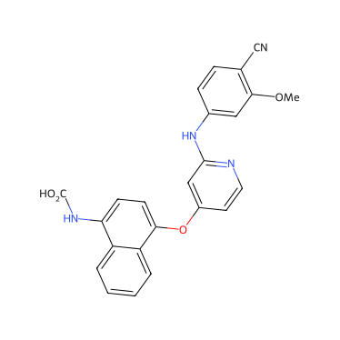 COc1cc(Nc2cc(Oc3ccc(NC(=O)O)c4ccccc34)ccn2)ccc1C#N